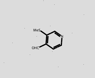 CSc1cnccc1C=O